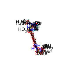 COC(=O)[C@H](CS[C@H](CC(=O)NCC(=O)NCCOCCOCCOCCOCCC(=O)N[C@@H](CSCC(=O)N(CCCNC(=O)OCC[Si](C)(C)C)[C@@H](c1cc(-c2cc(F)ccc2F)cn1Cc1ccccc1)C(C)(C)C)C(=O)O)C(=O)OC)NC(=O)OCC[Si](C)(C)C